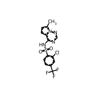 Cc1ccc2c(NS(=O)(=O)c3ccc(C(F)(F)F)cc3Cl)ncnn12